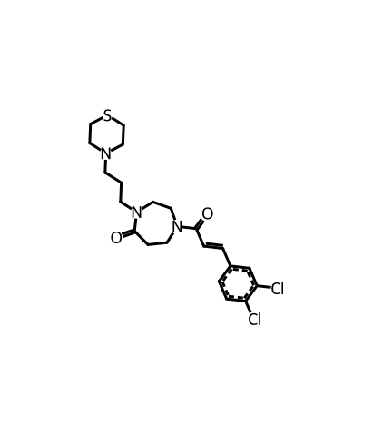 O=C(C=Cc1ccc(Cl)c(Cl)c1)N1CCC(=O)N(CCCN2CCSCC2)CC1